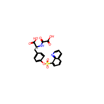 O=C(O)C(=O)N[C@H](Cc1ccc(OS(=O)(=O)c2cccc3cccnc23)cc1)C(=O)O